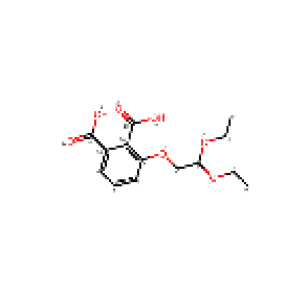 CCOC(COc1cccc(C(=O)O)c1C(=O)O)OCC